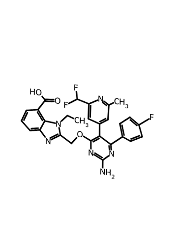 CCn1c(COc2nc(N)nc(-c3ccc(F)cc3)c2-c2cc(C)nc(C(F)F)c2)nc2cccc(C(=O)O)c21